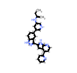 C=C(CC)Nc1cncc(-c2ccc3[nH]nc(-c4cc5c(-c6ccccn6)ccnc5[nH]4)c3c2)c1